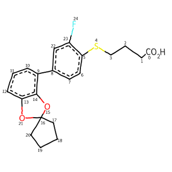 O=C(O)CCCSc1ccc(-c2cccc3c2OC2(CCCC2)O3)cc1F